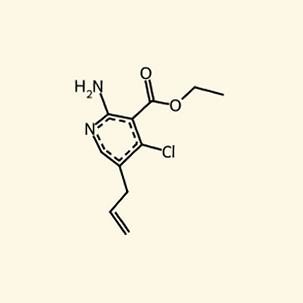 C=CCc1cnc(N)c(C(=O)OCC)c1Cl